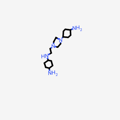 NC1CCC(NCCN2CCN(C3CCC(N)CC3)CC2)CC1